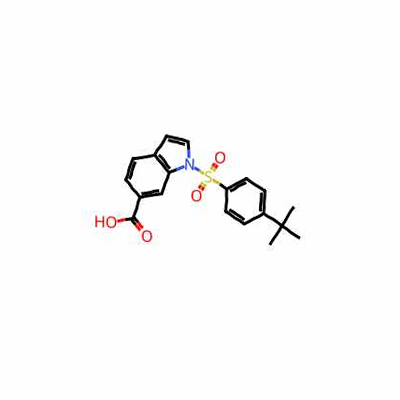 CC(C)(C)c1ccc(S(=O)(=O)n2ccc3ccc(C(=O)O)cc32)cc1